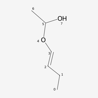 CC/C=C/OC(C)O